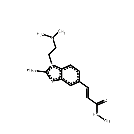 CCCCCCc1nc2cc(C=CC(=O)NO)ccc2n1CCN(C)C